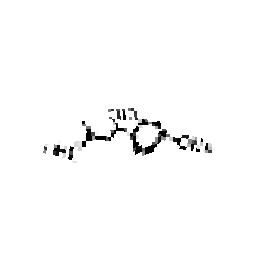 COc1ccc(C(C=O)CC(C)C=O)cc1